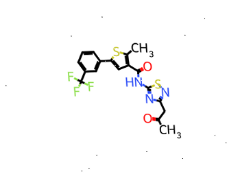 CC(=O)Cc1nsc(NC(=O)c2cc(-c3cccc(C(F)(F)F)c3)sc2C)n1